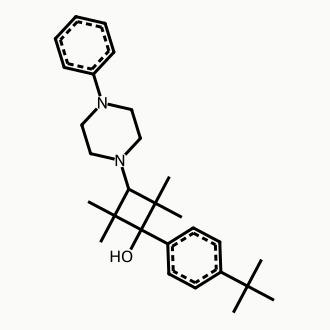 CC(C)(C)c1ccc(C2(O)C(C)(C)C(N3CCN(c4ccccc4)CC3)C2(C)C)cc1